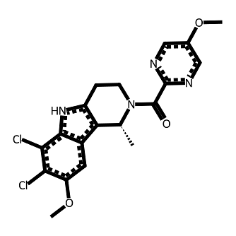 COc1cnc(C(=O)N2CCc3[nH]c4c(Cl)c(Cl)c(OC)cc4c3[C@H]2C)nc1